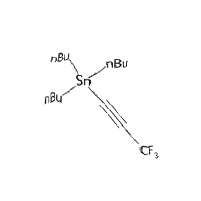 CCC[CH2][Sn]([C]#CC(F)(F)F)([CH2]CCC)[CH2]CCC